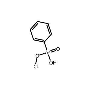 O=[As](O)(OCl)c1ccccc1